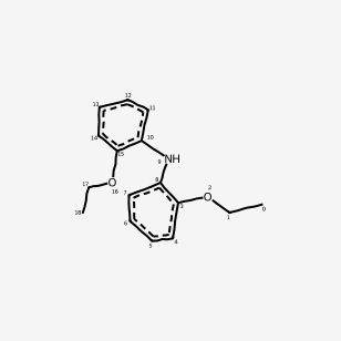 CCOc1ccccc1Nc1ccccc1OCC